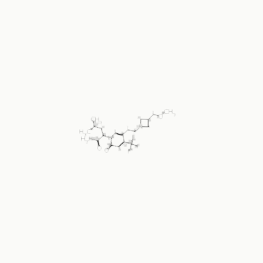 COCC1CN(CCc2cn(C(CC(C)C)C(N)=O)c(=O)cc2C(F)(F)F)C1